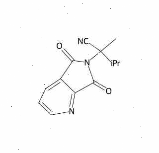 CC(C)C(C)(C#N)N1C(=O)c2cccnc2C1=O